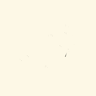 CN1C(=O)C2(C)C[C@]2(c2cc(NCc3ccn(C)n3)ccc2F)N=C1N